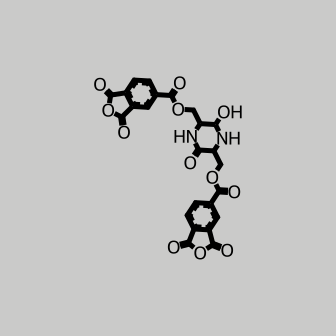 O=C(OCC1NC(O)C(COC(=O)c2ccc3c(c2)C(=O)OC3=O)NC1=O)c1ccc2c(c1)C(=O)OC2=O